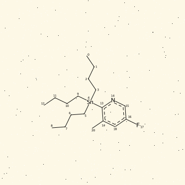 CCC[CH2][Sn]([CH2]CCC)([CH2]CCC)[c]1ncc(F)cc1C